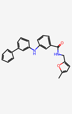 Cc1ccc(CNC(=O)c2cccc(Nc3cccc(-c4ccccc4)c3)c2)o1